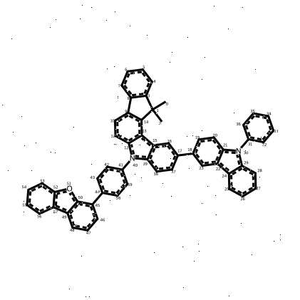 CC1(C)c2ccccc2-c2ccc3c(c21)c1cc(-c2ccc4c(c2)c2ccccc2n4-c2ccccc2)ccc1n3-c1ccc(-c2cccc3c2oc2ccccc23)cc1